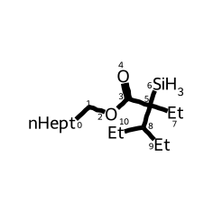 CCCCCCCCOC(=O)C([SiH3])(CC)C(CC)CC